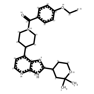 CC1(C)CC(c2nc3c(C4CCN(C(=O)c5ccc(OCF)cc5)CC4)ccnc3[nH]2)CCO1